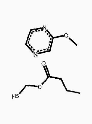 CCCC(=O)OCS.COc1cnccn1